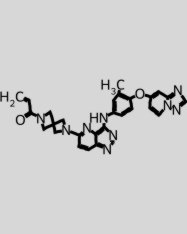 C=CC(=O)N1CC2(C1)CN(c1ccc3ncnc(Nc4ccc(Oc5ccn6ncnc6c5)c(C)c4)c3n1)C2